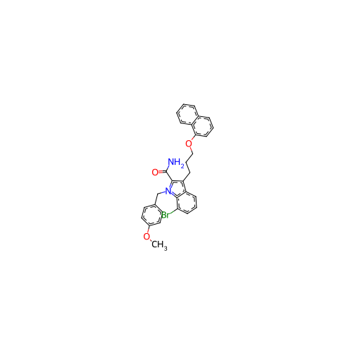 COc1ccc(Cn2c(C(N)=O)c(CCCOc3cccc4ccccc34)c3cccc(Br)c32)cc1